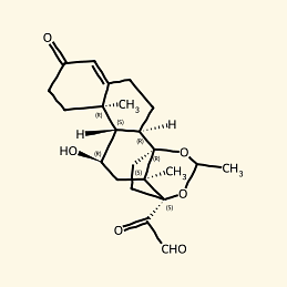 CC1O[C@@]2(C(=O)C=O)CC[C@@]3(O1)[C@@H]1CCC4=CC(=O)CC[C@]4(C)[C@H]1[C@H](O)C[C@]23C